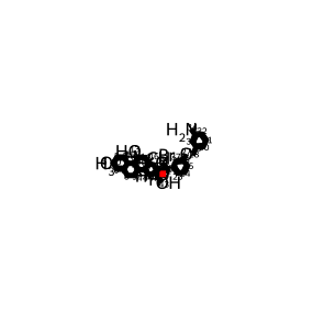 C[C@]12C=CC(=O)C=C1CC[C@@H]1[C@@H]2[C@@H](O)C[C@@]2(C)[C@H]1C[C@H]1O[C@H](c3cccc(OCc4cccc(N)c4)c3Br)O[C@]12C(=O)CO